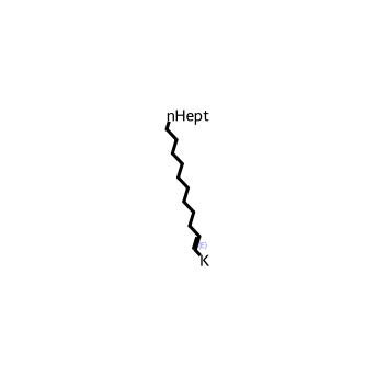 CCCCCCCCCCCCCCCC/C=[CH]/[K]